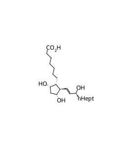 CCCCCCC[C@H](O)/C=C/[C@@H]1[C@@H](CCCCCCC(=O)O)[C@@H](O)C[C@H]1O